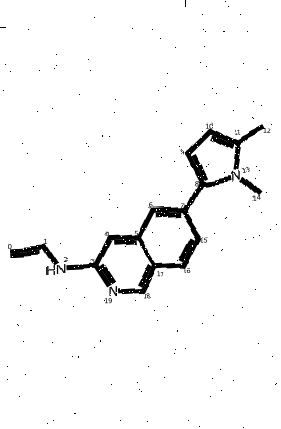 C=CNc1cc2cc(-c3ccc(C)n3C)ccc2cn1